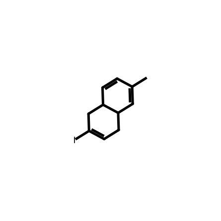 CC1=CC2CC=C(I)CC2C=C1